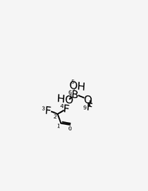 C=CC(F)F.OB(O)OF